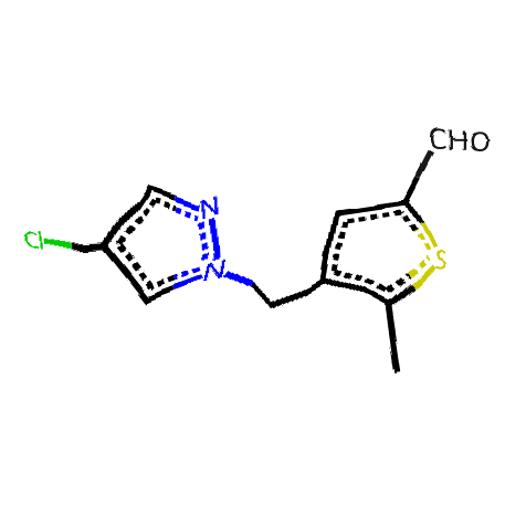 Cc1sc(C=O)cc1Cn1cc(Cl)cn1